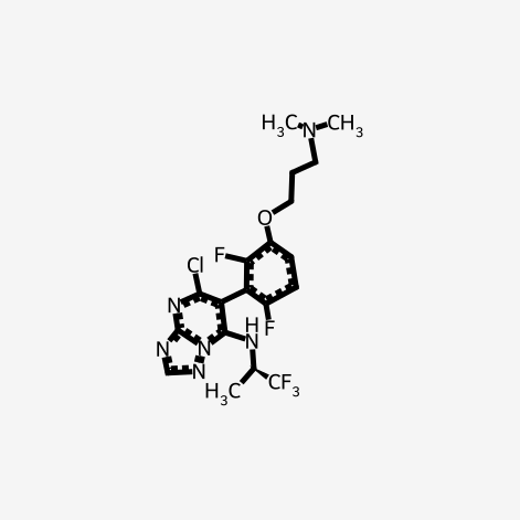 C[C@@H](Nc1c(-c2c(F)ccc(OCCCN(C)C)c2F)c(Cl)nc2ncnn12)C(F)(F)F